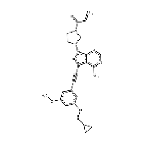 C=CC(=O)N1CC[C@H](n2nc(C#Cc3cc(OC)cc(OCC4CC4)c3)c3c(N)ncnc32)C1